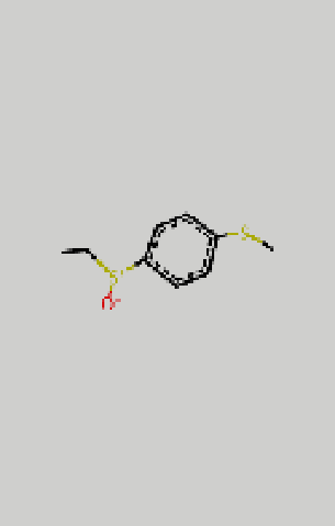 CC[S+]([O-])c1ccc(SC)cc1